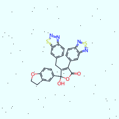 O=C1OC(O)(c2ccc3c(c2)CCO3)C(Cc2ccc3nnsc3c2)=C1c1ccc2nsnc2c1